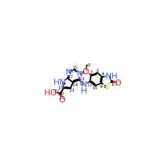 COc1cc2[nH]c(=O)sc2cc1Nc1ncnc2[nH]c(C(=O)O)cc12